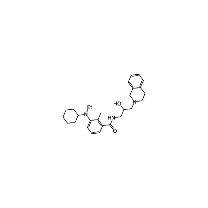 CCN(c1cccc(C(=O)NCC(O)CN2CCc3ccccc3C2)c1C)C1CCCCC1